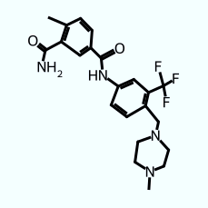 Cc1ccc(C(=O)Nc2ccc(CN3CCN(C)CC3)c(C(F)(F)F)c2)cc1C(N)=O